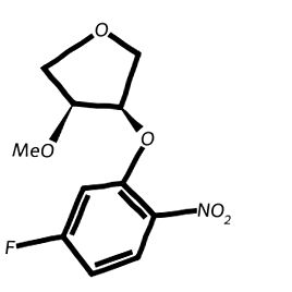 CO[C@H]1COC[C@H]1Oc1cc(F)ccc1[N+](=O)[O-]